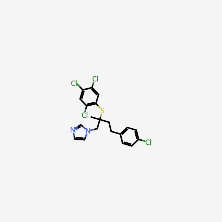 CC(CCc1ccc(Cl)cc1)(Cn1ccnc1)Sc1cc(Cl)c(Cl)cc1Cl